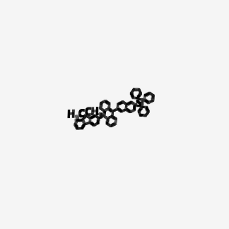 CC1(C)c2ccccc2-c2ccc(-c3c4ccccc4c(-c4ccc5cc([Si](c6ccccc6)(c6ccccc6)c6ccccc6)ccc5c4)c4ccccc34)cc21